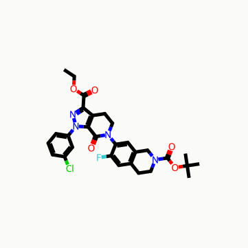 CCOC(=O)c1nn(-c2cccc(Cl)c2)c2c1CCN(c1cc3c(cc1F)CCN(C(=O)OC(C)(C)C)C3)C2=O